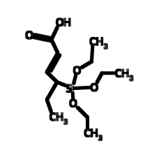 CCO[Si](OCC)(OCC)C(/C=C/C(=O)O)CC